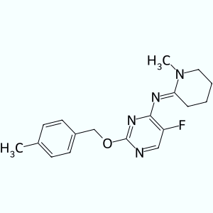 Cc1ccc(COc2ncc(F)c(/N=C3\CCCCN3C)n2)cc1